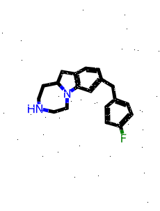 Fc1ccc(Cc2ccc3c(c2)N2CCNCCC2C3)cc1